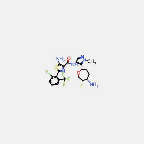 Cn1ncc(NC(=O)c2nc(-c3c(F)cccc3C(F)(F)F)sc2N)c1[C@@H]1CC[C@@H](N)[C@H](F)CO1